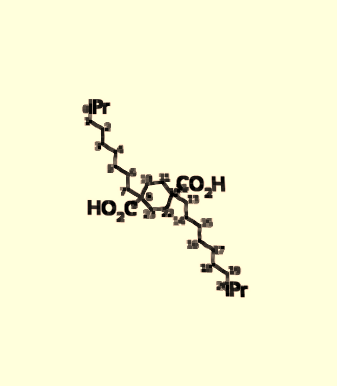 CC(C)CCCCCCCC1(C(=O)O)CCC(CCCCCCCC(C)C)(C(=O)O)CC1